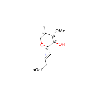 CCCCCCCCC/C=C/[C@@H]1OC[C@H](C)[C@H](OC)[C@H]1O